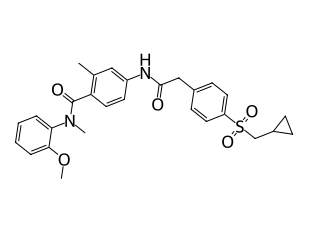 COc1ccccc1N(C)C(=O)c1ccc(NC(=O)Cc2ccc(S(=O)(=O)CC3CC3)cc2)cc1C